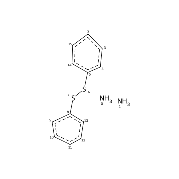 N.N.c1ccc(SSc2ccccc2)cc1